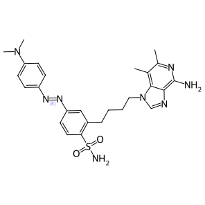 Cc1nc(N)c2ncn(CCCCc3cc(/N=N/c4ccc(N(C)C)cc4)ccc3S(N)(=O)=O)c2c1C